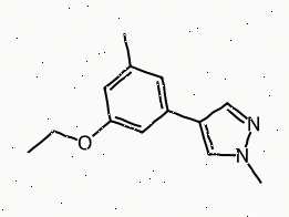 CCOc1cc(C)cc(-c2cnn(C)c2)c1